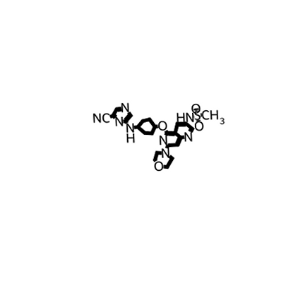 CS(=O)(=O)Nc1cnc2cc(N3CCOCC3)nc(OC3CCC(Nc4cncc(C#N)n4)CC3)c2c1